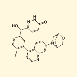 O=c1ccc(C(O)c2ccc(F)c(-c3ncnc4cc(N5CC6CCCC5CO6)ccc34)c2)n[nH]1